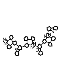 c1ccc2c(c1)-c1cc(-c3cc(-c4ccc5c(c4)-c4ccccc4-c4ncncc4-c4ccccc4-5)c4sc5ccccc5c4c3)ccc1-c1ncc(-c3cc(-c4ccc5c(c4)-c4ccccc4-c4ccccc4-c4nc(-c6cccc7c6sc6ccccc67)cnc4-5)cc4c3oc3ccccc34)nc1-c1ccccc1-2